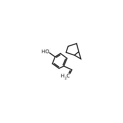 C1CC2CC2C1.C=Cc1ccc(O)cc1